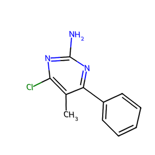 Cc1c(Cl)nc(N)nc1-c1ccccc1